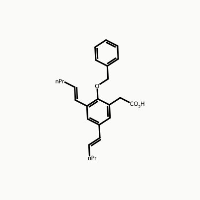 CCC/C=C/c1cc(/C=C/CCC)c(OCc2ccccc2)c(CC(=O)O)c1